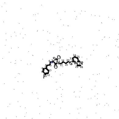 O=C1S/C(=C/CCc2ccc(F)cc2)C(=O)N1CCCCSc1cccc2nccn12